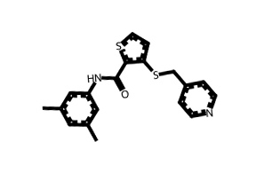 Cc1cc(C)cc(NC(=O)c2sccc2SCc2ccncc2)c1